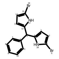 Brc1ccc(C(c2ccccc2)c2ccc(Br)[nH]2)[nH]1